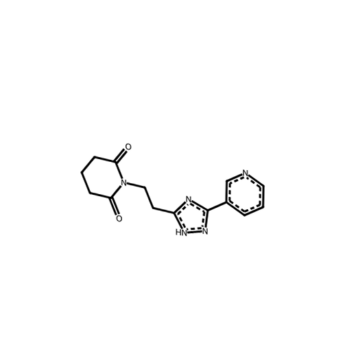 O=C1CCCC(=O)N1CCc1nc(-c2cccnc2)n[nH]1